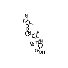 N#Cc1cc(F)c(COc2cccc(-c3ccc(Cc4nc5ccc(C(=O)O)cc5n4C[C@@H]4CCO4)c(F)c3)n2)cc1F